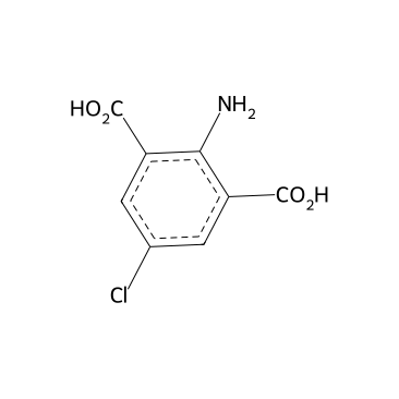 Nc1c(C(=O)O)cc(Cl)cc1C(=O)O